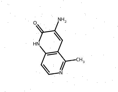 Cc1nccc2[nH]c(=O)c(N)cc12